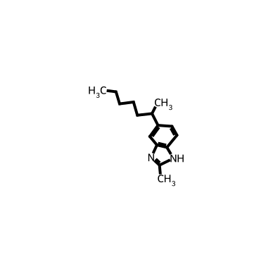 CCCCCC(C)c1ccc2[nH]c(C)nc2c1